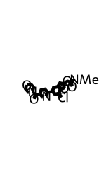 CNC(=O)Oc1cc2cc(-c3ccc(C(=O)N4CCOCC4)cn3)cc(Cl)c2o1